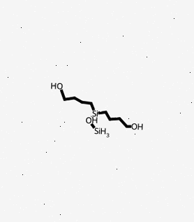 OCCCC[SiH](CCCCO)O[SiH3]